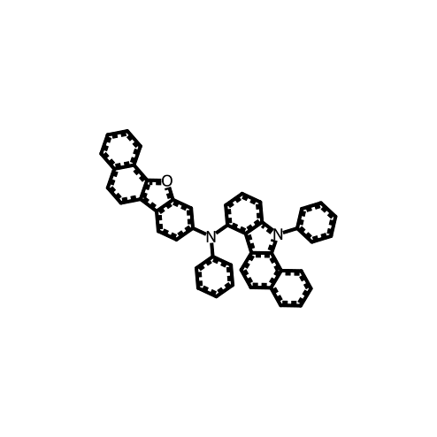 c1ccc(N(c2ccc3c(c2)oc2c4ccccc4ccc32)c2cccc3c2c2ccc4ccccc4c2n3-c2ccccc2)cc1